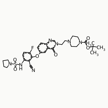 CC(C)(C)OC(=O)N1CCN(CCn2cnc3ccc(Oc4c(F)ccc(NS(=O)(=O)N5CCCC5)c4C#N)cc3c2=O)CC1